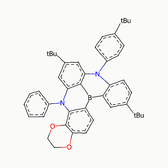 CC(C)(C)c1ccc(N2c3ccc(C(C)(C)C)cc3B3c4ccc5c(c4N(c4ccccc4)c4cc(C(C)(C)C)cc2c43)OCCO5)cc1